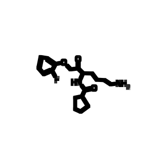 NCCCCC(NC(=O)C1CCCC1)C(=O)COc1ccccc1F